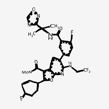 CNC(=O)c1c(C2C=CC(F)CC2)oc2nc(NCC(F)(F)F)c(-c3ccc(F)c(C(=O)NC(C)(C)c4ncon4)c3)cc12